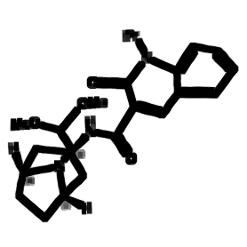 COC(CN1[C@@H]2CC[C@H]1C[C@H](NC(=O)c1cc3ccccc3n(C(C)C)c1=O)C2)OC